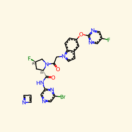 C1=CN=C1.O=C(Nc1cncc(Br)n1)[C@@H]1C[C@@H](F)CN1C(=O)Cn1ccc2cc(Oc3ncc(F)cn3)ccc21